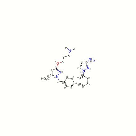 CN(C)CCCOc1cc(C(=O)O)n(Cc2ccccc2)n1.Nc1ccn(-c2ccccc2)n1